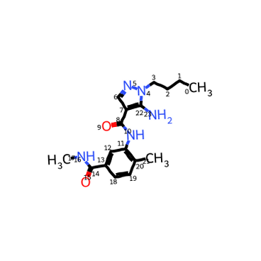 CCCCn1ncc(C(=O)Nc2cc(C(=O)NC)ccc2C)c1N